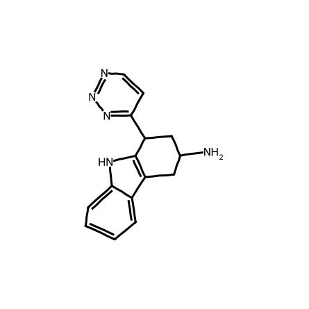 NC1Cc2c([nH]c3ccccc23)C(c2ccnnn2)C1